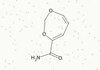 NC(=O)C1=CC=COCO1